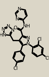 O=C(Nc1ccncn1)c1nn(-c2ccc(Cl)cc2Cl)c(-c2ccc(Cl)cc2)c1Cc1nnn[nH]1